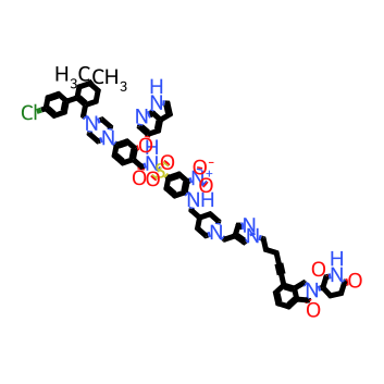 CC1(C)CCC(CN2CCN(c3ccc(C(=O)NS(=O)(=O)c4ccc(NCC5CCN(Cc6cnn(CCCC#Cc7cccc8c7CN(C7CCC(=O)NC7=O)C8=O)c6)CC5)c([N+](=O)[O-])c4)c(Oc4cnc5[nH]ccc5c4)c3)CC2)=C(c2ccc(Cl)cc2)C1